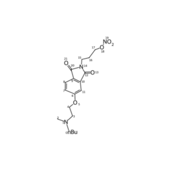 CCCCN(C)CCOc1ccc2c(c1)C(=O)N(CCCO[N+](=O)[O-])C2=O